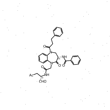 CC(=O)C[C@@H](C=O)NC(=O)CN1C(=O)[C@@H](NC(=O)c2ccccc2)CN(C(=O)CCc2ccccc2)c2ccccc21